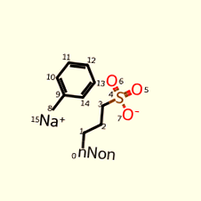 CCCCCCCCCCCCS(=O)(=O)[O-].Cc1ccccc1.[Na+]